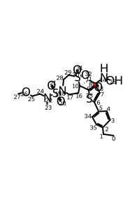 CCc1ccc(-c2ccc([C@@]3(CC(=O)NO)CCN(S(=O)(=O)N(C)CCOC)CCS3(=O)=O)s2)cc1